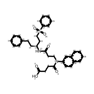 O=C(O)CCC(=O)N(CCC(=O)N[C@@H](CCc1ccccc1)CCS(=O)(=O)c1ccccc1)c1ccc2ccccc2c1